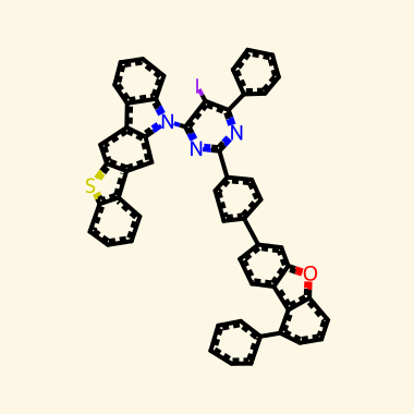 Ic1c(-c2ccccc2)nc(-c2ccc(-c3ccc4c(c3)oc3cccc(-c5ccccc5)c34)cc2)nc1-n1c2ccccc2c2cc3sc4ccccc4c3cc21